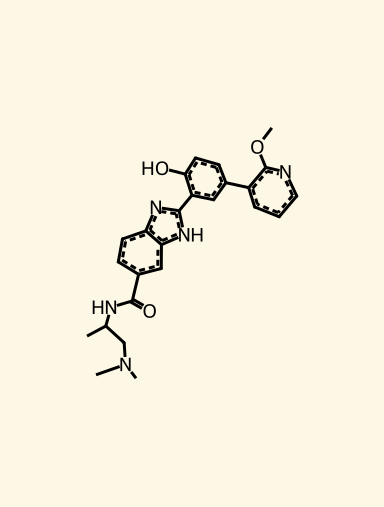 COc1ncccc1-c1ccc(O)c(-c2nc3ccc(C(=O)NC(C)CN(C)C)cc3[nH]2)c1